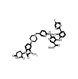 CNC(=O)c1cnc(Nc2ccc(CN3CCN(c4ccc5c(c4)n(C)c(=O)n5C4CCC(=O)NC4=O)CC3)cn2)cc1Nc1cccc(-c2ncc(F)cn2)c1OC